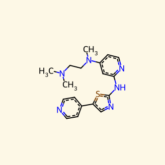 CN(C)CCN(C)c1ccnc(Nc2ncc(-c3ccncc3)s2)c1